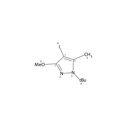 COc1nn(C(C)(C)C)c(C)c1I